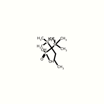 CCCC([Si](C)(C)C)([Si](C)(C)C)P(=O)(O)O